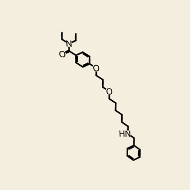 CCN(CC)C(=O)c1ccc(OCCCOCCCCCCNCc2ccccc2)cc1